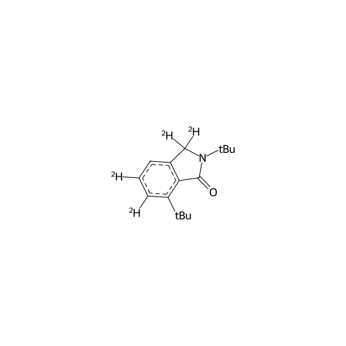 [2H]c1cc2c(c(C(C)(C)C)c1[2H])C(=O)N(C(C)(C)C)C2([2H])[2H]